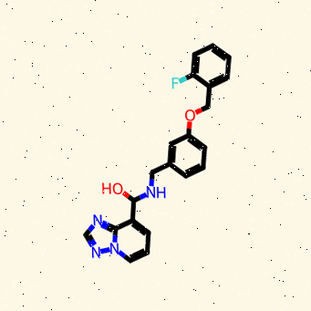 OC(NCc1cccc(OCc2ccccc2F)c1)c1cccn2ncnc12